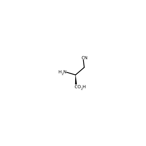 N#[13C]C[C@H](N)C(=O)O